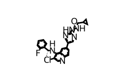 C[C@@H](Nc1c(Cl)cnc2ccc(-c3cnc(NNC(=O)C4CC4)nc3)cc12)c1ccccc1F